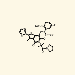 COc1ccc(F)cc1C(Cn1c(=O)n(C(C)(C)C(=O)N2CCCC2)c(=O)c2c(C)c(-n3nccn3)sc21)OC(C)C